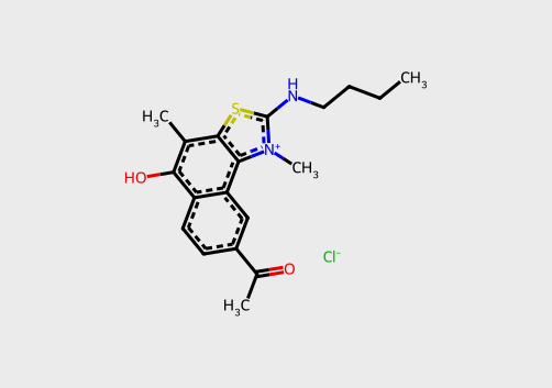 CCCCNc1sc2c(C)c(O)c3ccc(C(C)=O)cc3c2[n+]1C.[Cl-]